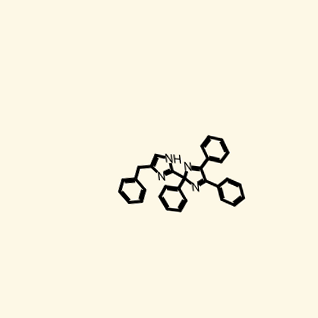 c1ccc(Cc2c[nH]c(C3(c4ccccc4)N=C(c4ccccc4)C(c4ccccc4)=N3)n2)cc1